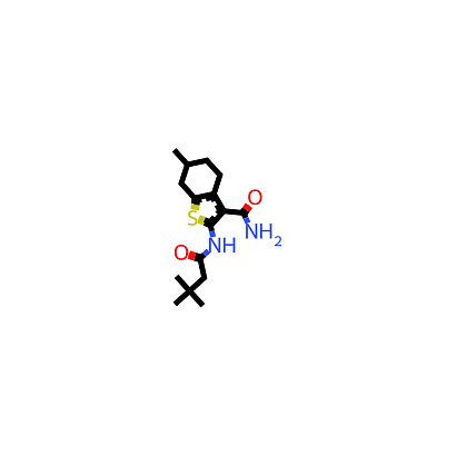 CC1CCc2c(sc(NC(=O)CC(C)(C)C)c2C(N)=O)C1